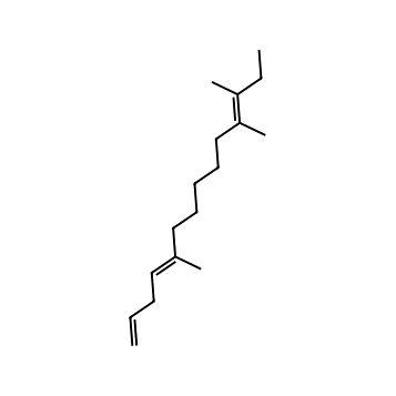 C=CC/C=C(\C)CCCCC/C(C)=C(\C)CC